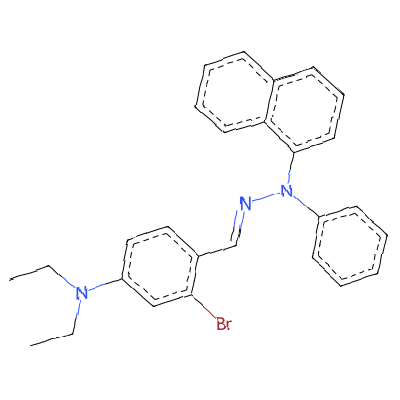 CCN(CC)c1ccc(/C=N/N(c2ccccc2)c2cccc3ccccc23)c(Br)c1